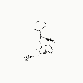 CCCCCCC(CCC(C)C(CNF)Nc1ccccc1)C1CCCCC1